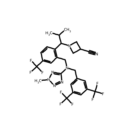 CC(C)C(c1ccc(C(F)(F)F)cc1CN(Cc1cc(C(F)(F)F)cc(C(F)(F)F)c1)c1nnn(C)n1)N1CC(C#N)C1